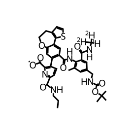 [2H]C([2H])([2H])NC(=O)c1cc(CNC(=O)OC(C)(C)C)cc(C)c1NC(=O)c1cc2c(cc1-c1ccc(C(=O)NCCC)nc1C(=O)OC)OCCc1ccsc1-2